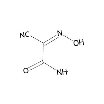 N#CC(=NO)C([NH])=O